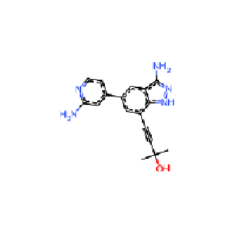 CC(C)(O)C#Cc1cc(-c2ccnc(N)c2)cc2c(N)n[nH]c12